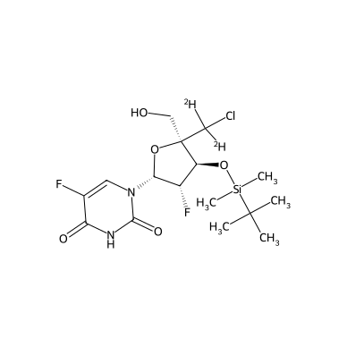 [2H]C([2H])(Cl)[C@]1(CO)O[C@@H](n2cc(F)c(=O)[nH]c2=O)[C@@H](F)[C@@H]1O[Si](C)(C)C(C)(C)C